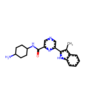 Cc1c(-c2cncc(C(=O)NC3CCC(N)CC3)n2)[nH]c2ccccc12